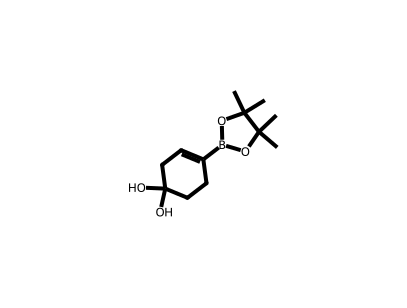 CC1(C)OB(C2=CCC(O)(O)CC2)OC1(C)C